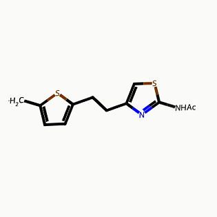 [CH2]c1ccc(CCc2csc(NC(C)=O)n2)s1